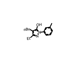 CCCCc1c(CC)nn(-c2cccc(C)c2)c1O